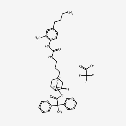 CCCCc1ccc(NC(=O)NCCC[N+]23CCC(CC2)[C@@H](OC(=O)C(O)(c2ccccc2)c2ccccc2)C3)c(C)c1.O=C([O-])C(F)(F)F